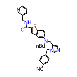 CCCCN(Cc1cncn1Cc1ccc(C#N)cc1)c1ccc2sc(C(=O)NCc3cccnc3)cc2c1